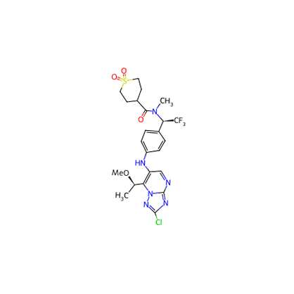 CO[C@H](C)c1c(Nc2ccc([C@@H](N(C)C(=O)C3CCS(=O)(=O)CC3)C(F)(F)F)cc2)cnc2nc(Cl)nn12